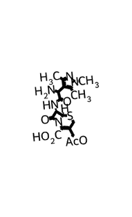 CC(=O)OCC1=C(C(=O)O)N2C(=O)[C@@H](NC(=O)C(N)c3c(C)nn(C)c3C)[C@H]2SC1